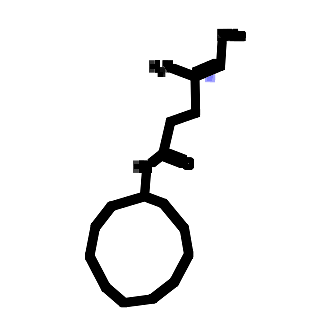 CN/C=C(\N)CCC(=O)NC1CCCCCCCCCC1